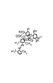 CC(C)c1ccc(C(C)C)c(OC(=O)[O-])c1O.CC(C)c1ccc(C(C)C)c(OC(=O)[O-])c1O.Cc1cccc(C)c1N=CC=Nc1c(C)cccc1C.[Ni+2]